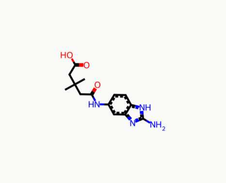 CC(C)(CC(=O)O)CC(=O)Nc1ccc2[nH]c(N)nc2c1